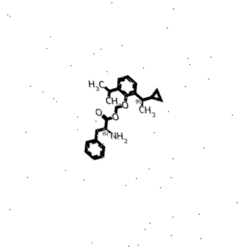 CC(C)c1cccc([C@H](C)C2CC2)c1OCOC(=O)[C@@H](N)Cc1ccccc1